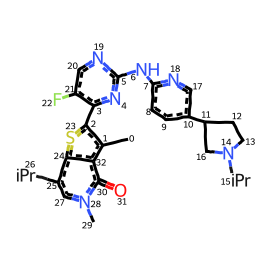 Cc1c(-c2nc(Nc3ccc(C4CCN(C(C)C)C4)cn3)ncc2F)sc2c(C(C)C)cn(C)c(=O)c12